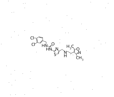 Cc1noc(C)c1CCNCc1csc(NC(=O)NCc2ccc(Cl)c(Cl)c2)n1